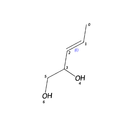 C/C=C/C(O)CO